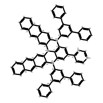 c1ccc(-c2cc(-c3ccccc3)cc(N3c4cc5cc6ccccc6cc5cc4B4c5cc6cc7ccccc7cc6cc5N(c5cc(-c6ccccc6)cc(-c6ccccc6)c5)c5cc(-c6ccncn6)cc3c54)c2)cc1